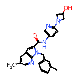 Cc1cccc(Cn2c(C(=O)Nc3ccc(N4CC(O)C4)nc3)cc3cc(C(F)(F)F)cnc32)c1